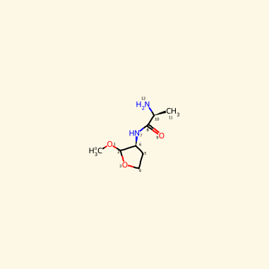 COC1OCC[C@@H]1NC(=O)[C@H](C)N